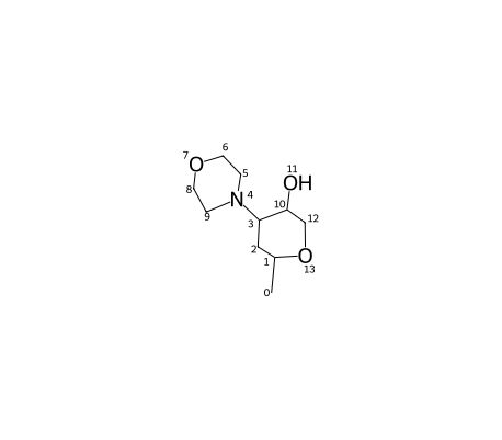 CC1CC(N2CCOCC2)C(O)CO1